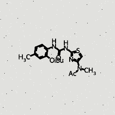 CC(=O)N(C)c1csc(NC(=O)Nc2ccc(C)cc2OCC(C)C)n1